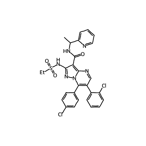 CCS(=O)(=O)Nc1nn2c(-c3ccc(Cl)cc3)c(-c3ccccc3Cl)cnc2c1C(=O)NC(C)c1ccccn1